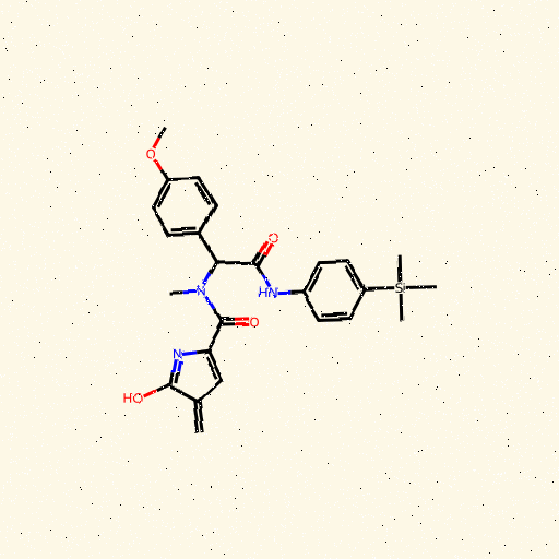 C=C1C=C(C(=O)N(C)C(C(=O)Nc2ccc([Si](C)(C)C)cc2)c2ccc(OC)cc2)N=C1O